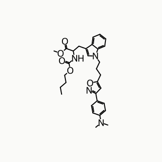 CCCCOC(=O)NC(Cc1cn(CCCc2cc(-c3ccc(N(C)C)cc3)no2)c2ccccc12)C(=O)OC